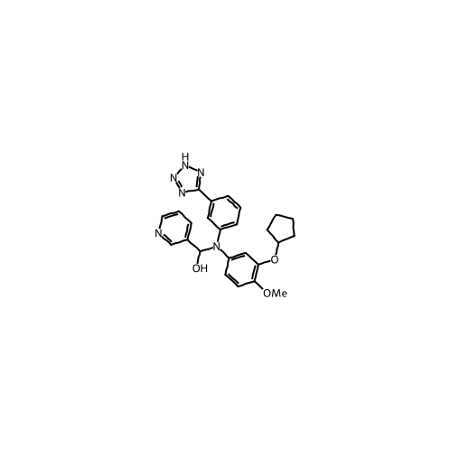 COc1ccc(N(c2cccc(-c3nn[nH]n3)c2)C(O)c2cccnc2)cc1OC1CCCC1